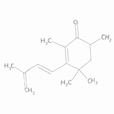 C=C(C)/C=C/C1=C(C)C(=O)C(C)CC1(C)C